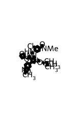 CNC(=O)c1ccc(Nc2nc(O[C@H]3CCOC3)c3c(-c4ccc5nc(C)oc5c4)cn(COCC[Si](C)(C)C)c3n2)c(Cl)c1